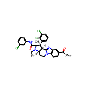 COC(=O)c1ccc2c(c1)nc1n2CC[C@H]2[C@@H]1[C@H](c1cccc(Cl)c1F)[C@](C)(C(=O)Nc1cccc(Cl)c1)N2CC(C)C